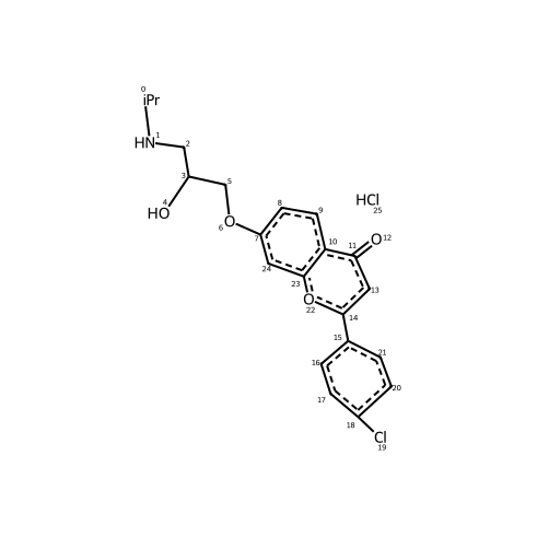 CC(C)NCC(O)COc1ccc2c(=O)cc(-c3ccc(Cl)cc3)oc2c1.Cl